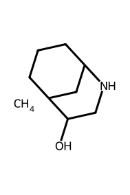 C.OC1CNC2CCCC1C2